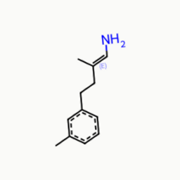 C/C(=C\N)CCc1cccc(C)c1